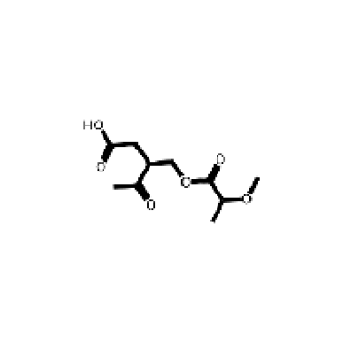 COC(C)C(=O)OCC(CC(=O)O)C(C)=O